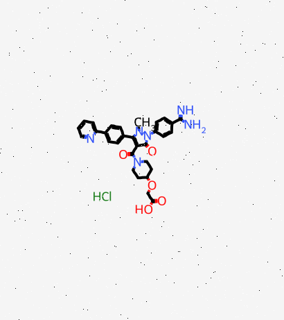 Cl.Cn1c(-c2ccc(-c3ccccn3)cc2)c(C(=O)N2CCC(OCC(=O)O)CC2)c(=O)n1-c1ccc(C(=N)N)cc1